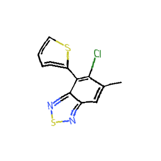 Cc1cc2nsnc2c(-c2cccs2)c1Cl